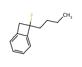 CCCCC1(F)Cc2ccccc21